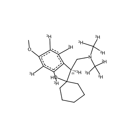 [2H]c1c([2H])c([C@@]([2H])(CN(C([2H])([2H])[2H])C([2H])([2H])[2H])C2(O)CCCCC2)c([2H])c([2H])c1OC